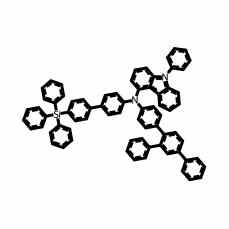 c1ccc(-c2ccc(-c3ccc(N(c4ccc(-c5ccc([Si](c6ccccc6)(c6ccccc6)c6ccccc6)cc5)cc4)c4cccc5c4c4ccccc4n5-c4ccccc4)cc3)c(-c3ccccc3)c2)cc1